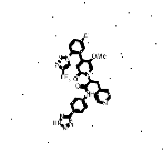 COc1cn(C(Cc2ccncc2)C(=O)Nc2ccc(-c3nn[nH]n3)cc2)c(=O)cc1-c1cc(Cl)ccc1-n1cc(C(F)(F)F)nn1